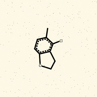 Cc1ccc2c(c1Cl)CCO2